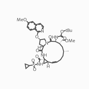 COC[C@@H]1C[C@H](C)CC/C=C\[C@@H]2C[C@@]2(C(=O)NS(=O)(=O)C2CC2)NC(=O)[C@@H]2C[C@@H](Oc3nccc4cc(OC)ccc34)CN2C(=O)[C@H]1NC(=O)OC(C)(C)C